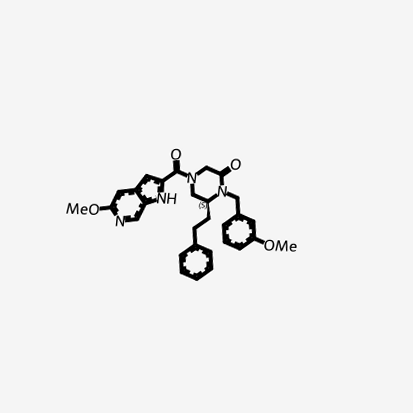 COc1cccc(CN2C(=O)CN(C(=O)c3cc4cc(OC)ncc4[nH]3)C[C@@H]2CCc2ccccc2)c1